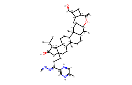 C=N/N=C(\CCC12CCC3C(CCC4C3(C)CCC3C(C)C(OC(=C)C5CC(C=O)C5C)CCC34C)C1=C(C(C)C)C(=O)C2)c1cnc(C)cn1